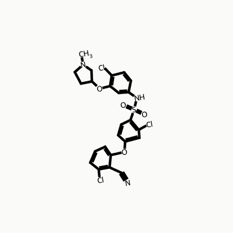 CN1CCC(Oc2cc(NS(=O)(=O)c3ccc(Oc4cccc(Cl)c4C#N)cc3Cl)ccc2Cl)C1